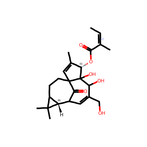 C/C=C(/C)C(=O)O[C@H]1C(C)=CC23CCC4[C@H](C(C=C(CO)C(O)C12O)C3=O)C4(C)C